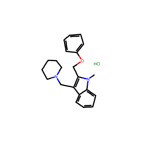 Cl.Cn1c(COc2ccccc2)c(CN2CCCCC2)c2ccccc21